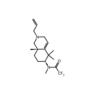 C=CCN1CC=C2C(C)(C)[C@@H](N(C)C(=O)C(F)(F)F)CC[C@]2(C)C1